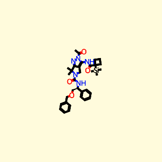 CC(=O)n1nc2c(c1NC(=O)C1([Si](C)(C)C)CCC1)CN(C(=O)N[C@H](COCc1ccccc1)c1ccccc1)C2(C)C